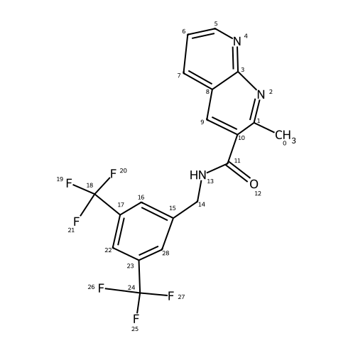 Cc1nc2ncccc2cc1C(=O)NCc1cc(C(F)(F)F)cc(C(F)(F)F)c1